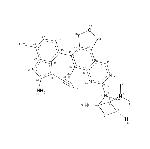 CN(C)[C@H]1[C@@H]2C[C@H]1N(c1ncc3c4c(c(-c5ncc(F)c6sc(N)c(C#N)c56)c(F)c3n1)COC4)C2